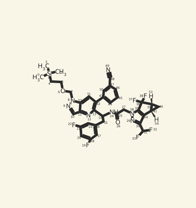 C[Si](C)(C)CCOCn1ncc2nc(C(Cc3cc(F)cc(F)c3)NC(=O)Cn3nc(C(F)F)c4c3C(F)(F)[C@@H]3C[C@H]43)c(-c3cccc(C#N)c3)cc21